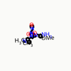 COc1ccc(CN2CC3CC(c4ccc(N(C)C)c5ccccc45)N4C(=O)N(CCN5CCOCC5)C(=O)C34C2)cc1N